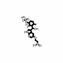 CCCS(=O)(=O)Nc1ccc(F)c(C(O)c2c[nH]c3ncc(OCCN(CC)CC)cc23)c1F